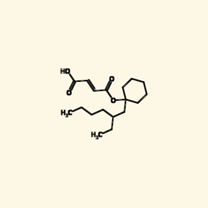 CCCCC(CC)CC1(OC(=O)C=CC(=O)O)CCCCC1